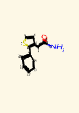 NC(=O)Cc1ccsc1-c1ccccc1